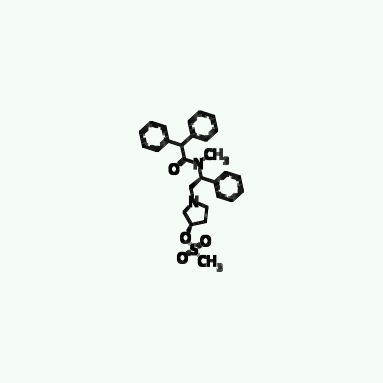 CN(C(=O)C(c1ccccc1)c1ccccc1)[C@H](CN1CC[C@@H](OS(C)(=O)=O)C1)c1ccccc1